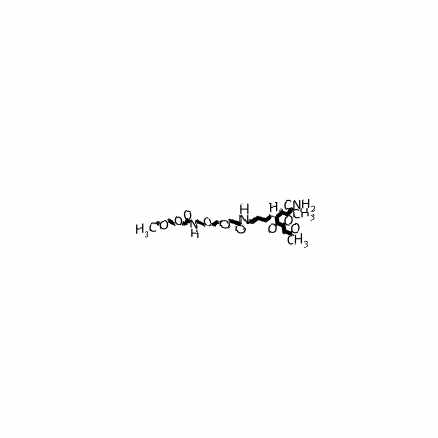 CCOCCOCC(=O)NCCOCCOCC(=O)NCCCC[C@H](CC(=O)C(C)(C)N)C(=O)CCC(C)=O